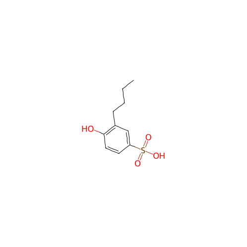 CCCCc1cc(S(=O)(=O)O)ccc1O